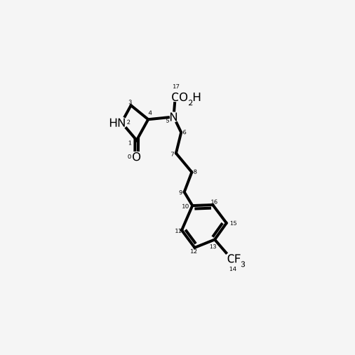 O=C1NCC1N(CCCCc1ccc(C(F)(F)F)cc1)C(=O)O